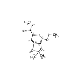 CCOc1cc(C(=O)OC)cc2c1OC(C)(C)O2